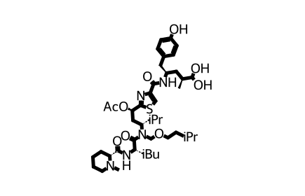 CCC(C)[C@H](NC(=O)[C@H]1CCCCN1C)C(=O)N(COCCC(C)C)[C@H](C[C@@H](OC(C)=O)c1nc(C(=O)N[C@@H](Cc2ccc(O)cc2)C[C@H](C)C(O)O)cs1)C(C)C